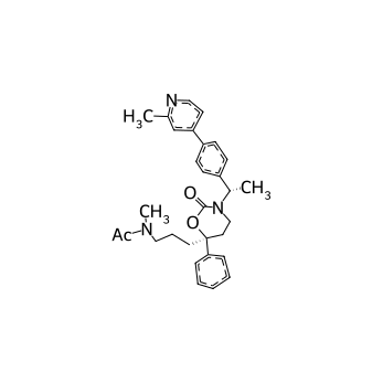 CC(=O)N(C)CCC[C@@]1(c2ccccc2)CCN([C@@H](C)c2ccc(-c3ccnc(C)c3)cc2)C(=O)O1